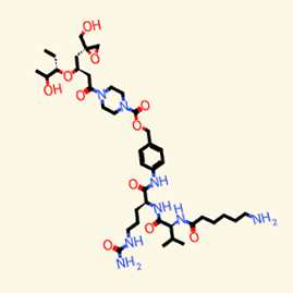 CC[C@H](O[C@H](CC(=O)N1CCN(C(=O)OCc2ccc(NC(=O)[C@H](CCCNC(N)=O)NC(=O)[C@@H](NC(=O)CCCCCN)C(C)C)cc2)CC1)C[C@]1(CO)CO1)C(C)O